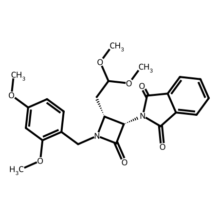 COc1ccc(CN2C(=O)[C@@H](N3C(=O)c4ccccc4C3=O)[C@H]2CC(OC)OC)c(OC)c1